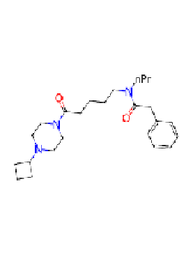 CCCN(CCCCC(=O)N1CCN(C2CCC2)CC1)C(=O)Cc1ccccc1